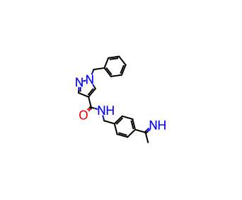 CC(=N)c1ccc(CNC(=O)c2cnn(Cc3ccccc3)c2)cc1